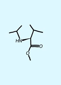 COC(=O)[C@@H](NC(C)C)C(C)C